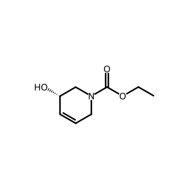 CCOC(=O)N1CC=C[C@H](O)C1